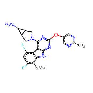 CNc1c(F)cc(F)c2c1[nH]c1nc(Oc3cnc(C)nc3)nc(N3CC4C(N)C4C3)c12